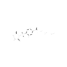 CCOCCOC(=O)c1ccc(S(=O)(=O)N2C(=O)CCC2=O)cc1